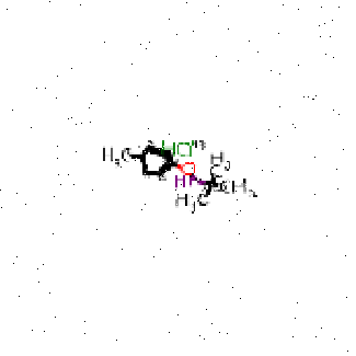 Cc1ccc(OPC(C)(C)C)cc1.Cl